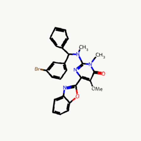 COc1c(-c2nc3ccccc3o2)nc(N(C)C(c2ccccc2)c2cccc(Br)c2)n(C)c1=O